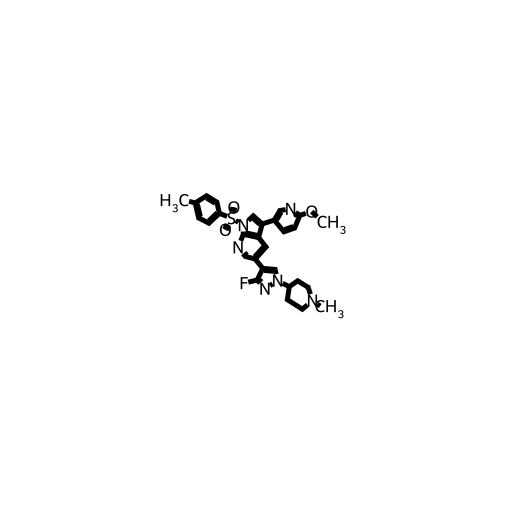 COc1ccc(-c2cn(S(=O)(=O)c3ccc(C)cc3)c3ncc(-c4cn(C5CCN(C)CC5)nc4F)cc23)cn1